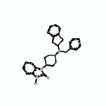 CCn1c(=O)n(C2CCC(N(Cc3ccccc3)C3Cc4ccccc4C3)CC2)c2ccccc21